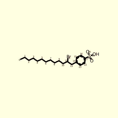 CCCCCCCCCCCC(Br)Cc1ccc(S(=O)(=O)O)cc1